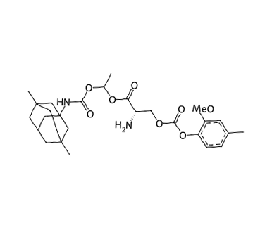 COc1cc(C)ccc1OC(=O)OC[C@H](N)C(=O)OC(C)OC(=O)NC12CC3CC(C)(CC(C)(C3)C1)C2